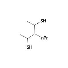 CCCC(C(C)S)C(C)S